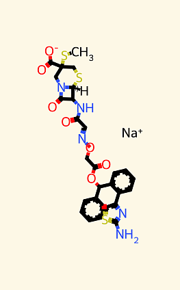 CSC1(C(=O)[O-])CS[C@@H]2C(NC(=O)C=NOCC(=O)OC(c3ccccc3)c3ccccc3-c3csc(N)n3)C(=O)N2C1.[Na+]